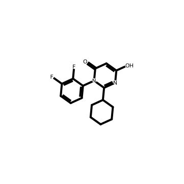 O=c1cc(O)nc(C2CCCCC2)n1-c1cccc(F)c1F